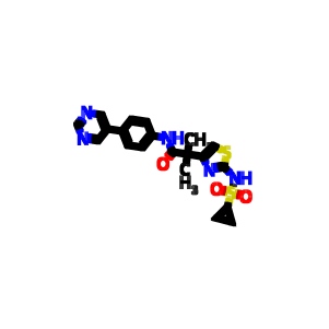 CC(C)(C(=O)Nc1ccc(-c2cncnc2)cc1)c1csc(NS(=O)(=O)C2CC2)n1